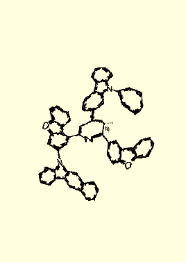 C[C@@H]1C(c2ccc3oc4ccccc4c3c2)=NC(c2cc(-n3c4ccccc4c4cc5ccccc5cc43)cc3oc4ccccc4c23)=CC1c1ccc2c3ccccc3n(-c3ccccc3)c2c1